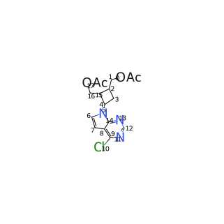 CC(=O)OCC1CC(n2ccc3c(Cl)ncnc32)C1COC(C)=O